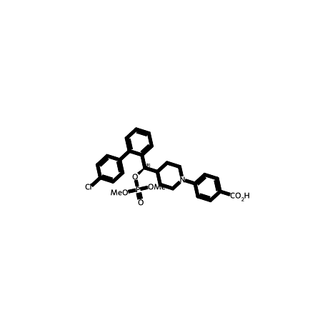 COP(=O)(OC)O[C@@H](c1ccccc1-c1ccc(Cl)cc1)C1CCN(c2ccc(C(=O)O)cc2)CC1